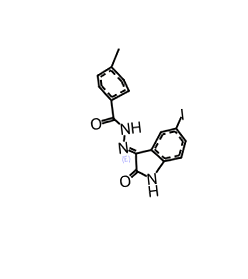 Cc1ccc(C(=O)N/N=C2/C(=O)Nc3ccc(I)cc32)cc1